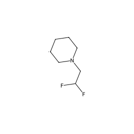 FC(F)CN1C[CH]CCC1